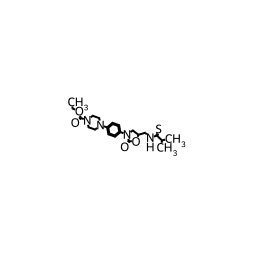 CCOC(=O)N1CCN(c2ccc(N3CC(CNC(=S)C(C)C)OC3=O)cc2)CC1